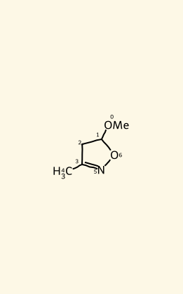 COC1CC(C)=NO1